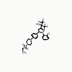 CCS(=O)(=O)N1CCN(c2ccc(C3CC(C(O)(C(F)(F)F)C(F)(F)F)=NN3c3ccccc3Cl)cc2)CC1